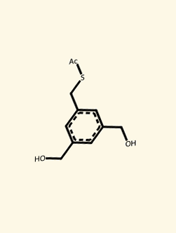 CC(=O)SCc1cc(CO)cc(CO)c1